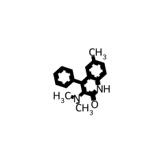 Cc1ccc2[nH]c(=O)c(N(C)C)c(-c3ccccc3)c2c1